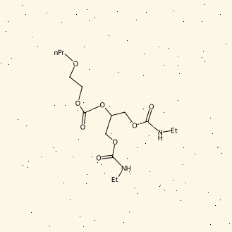 CCCOCCOC(=O)OC(COC(=O)NCC)COC(=O)NCC